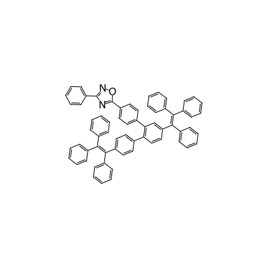 c1ccc(C(=C(c2ccccc2)c2ccc(-c3ccc(C(=C(c4ccccc4)c4ccccc4)c4ccccc4)cc3-c3ccc(-c4nc(-c5ccccc5)no4)cc3)cc2)c2ccccc2)cc1